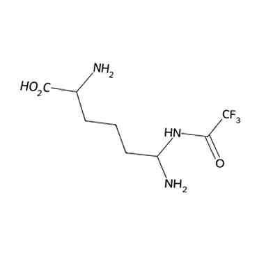 NC(CCCC(N)C(=O)O)NC(=O)C(F)(F)F